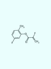 C=C(F)C(=O)Oc1cc(F)ccc1C